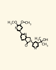 COc1cc(-c2ccc3c(n2)CN(c2cncc(C(C)(C)O)c2)C3=O)cnc1OC